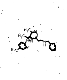 CCOc1ccc(-n2nc3c(CCNCc4ccccc4)nnc(C)c3c2C)c(F)c1